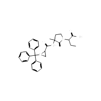 CCC(C(=O)O)N1CCC(C)(NC(=O)C2CN2C(c2ccccc2)(c2ccccc2)c2ccccc2)C1=O